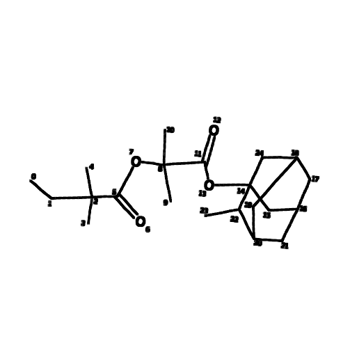 CCC(C)(C)C(=O)OC(C)(C)C(=O)OC12CC3CC(CC(C3)C1C)C2